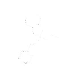 CCC[CH2][Sn]([CH2]CC)([CH2]CCC)[O]Cc1ccccc1